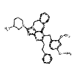 COc1ccc(Cn2c(CCc3ccccc3)nc3nc(N4CCCC(N)C4)n(Cc4ccccc4)c3c2=O)c(OC)c1